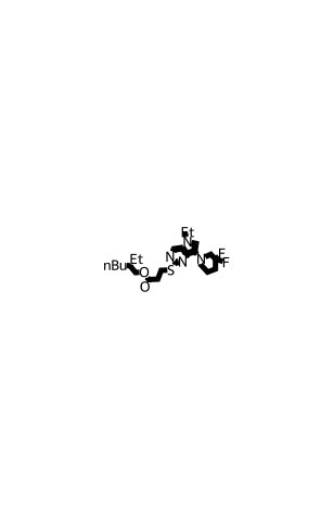 CCCCC(CC)COC(=O)CCSc1ncc2c(n1)c(N1CCCC(F)(F)C1)cn2CC